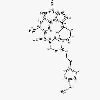 COc1ccc(CCCN2CCN(C(=O)c3cc4c(cc3C)[nH]c(=O)c3cnn(C5CCOCC5)c34)CC2)cc1